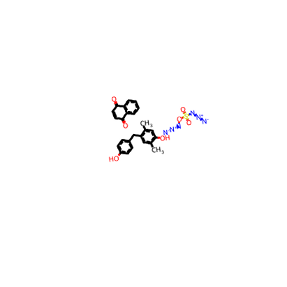 Cc1cc(Cc2ccc(O)cc2)c(C)cc1O.O=C1C=CC(=O)c2ccccc21.[N-]=[N+]=NOS(=O)(=O)N=[N+]=[N-]